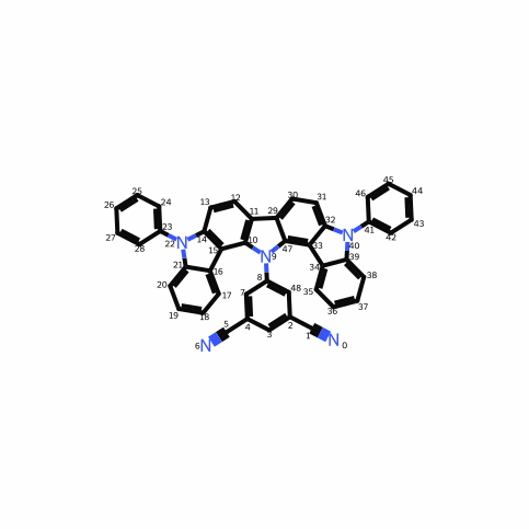 N#Cc1cc(C#N)cc(-n2c3c(ccc4c3c3ccccc3n4-c3ccccc3)c3ccc4c(c5ccccc5n4-c4ccccc4)c32)c1